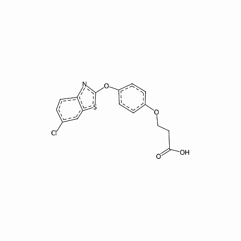 O=C(O)CCOc1ccc(Oc2nc3ccc(Cl)cc3s2)cc1